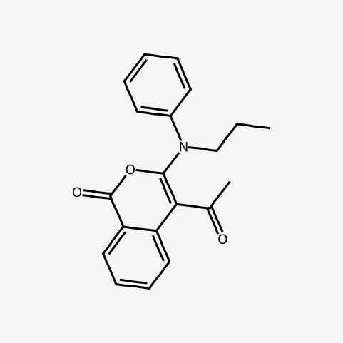 CCCN(c1ccccc1)c1oc(=O)c2ccccc2c1C(C)=O